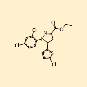 CCOC(=O)C1=NN(c2ccc(Cl)cc2Cl)C(c2ccc(Cl)s2)C1